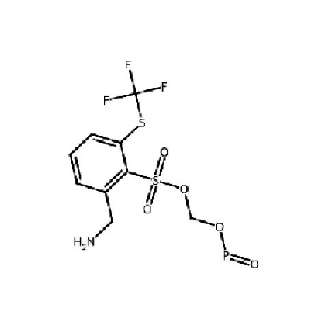 NCc1cccc(SC(F)(F)F)c1S(=O)(=O)OCOP=O